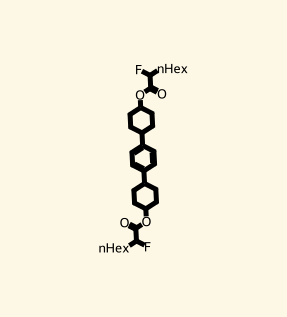 CCCCCCC(F)C(=O)OC1CCC(c2ccc(C3CCC(OC(=O)C(F)CCCCCC)CC3)cc2)CC1